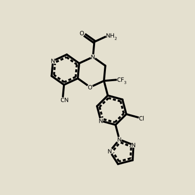 N#Cc1cncc2c1OC(c1cnc(-n3nccn3)c(Cl)c1)(C(F)(F)F)CN2C(N)=O